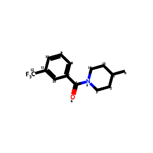 CC1CCN(C(=O)c2cccc(C(F)(F)F)c2)CC1